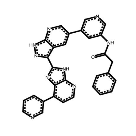 O=C(Cc1ccccc1)Nc1cncc(-c2cnc3[nH]nc(-c4nc5c(-c6cccnc6)ccnc5[nH]4)c3c2)c1